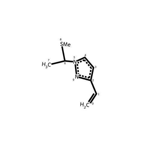 C=Cc1ccn(C(C)SC)n1